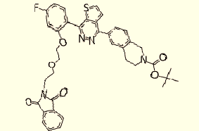 CC(C)(C)OC(=O)N1CCc2cc(-c3nnc(-c4ccc(F)cc4OCCOCCN4C(=O)c5ccccc5C4=O)c4sccc34)ccc2C1